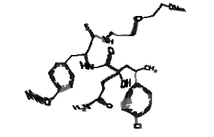 COCCOCCNC(=S)C(Cc1ccc(OC)cc1)NC(=O)C(O)(CC(N)=O)CC(C)c1ccc(Cl)cc1